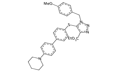 CCOC(=O)c1nnn(Cc2ccc(OC)cc2)c1Sc1ccc(-c2ccc(N3CCCCC3)cc2)cc1